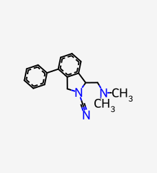 CN(C)CC1c2cccc(-c3ccccc3)c2CN1C#N